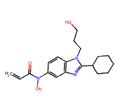 C=CC(=O)N(O)c1ccc2c(c1)nc(C1CCCCC1)n2CCCO